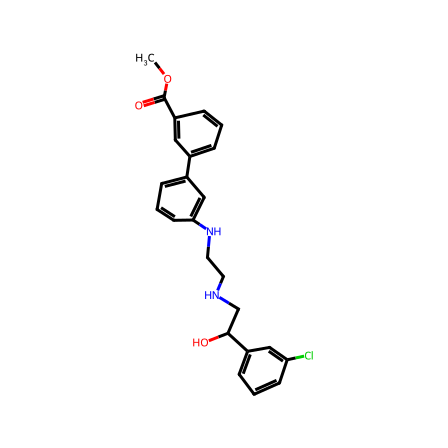 COC(=O)c1cccc(-c2cccc(NCCNCC(O)c3cccc(Cl)c3)c2)c1